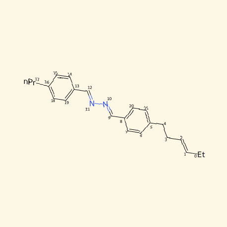 CCC=CCCc1ccc(C=NN=Cc2ccc(CCC)cc2)cc1